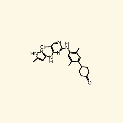 Cc1cc(Nc2nc(Nc3cc(C)c(C4CCC(=O)CC4)cc3C)ncc2Cl)n[nH]1